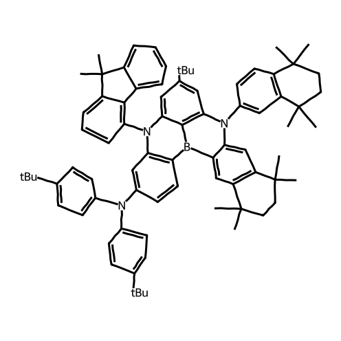 CC(C)(C)c1ccc(N(c2ccc(C(C)(C)C)cc2)c2ccc3c(c2)N(c2cccc4c2-c2ccccc2C4(C)C)c2cc(C(C)(C)C)cc4c2B3c2cc3c(cc2N4c2ccc4c(c2)C(C)(C)CCC4(C)C)C(C)(C)CCC3(C)C)cc1